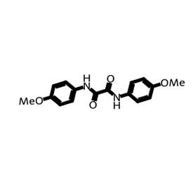 COc1ccc(NC(=O)C(=O)Nc2ccc(OC)cc2)cc1